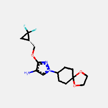 Nc1cn(C2CCC3(CC2)OCCO3)nc1OC[C@@H]1CC1(F)F